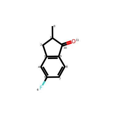 CC1Cc2cc(F)ccc2C1=O